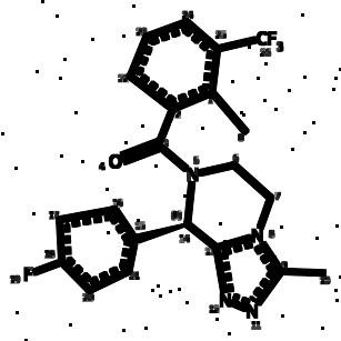 Cc1c(C(=O)N2CCn3c(C)nnc3[C@H]2c2ccc(F)cc2)cccc1C(F)(F)F